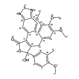 COc1ccc(C2(O)OC(=O)C(c3ccc4nsnc4c3)=C2Cc2cc(OC)c(OC)c(OC)c2)cc1C